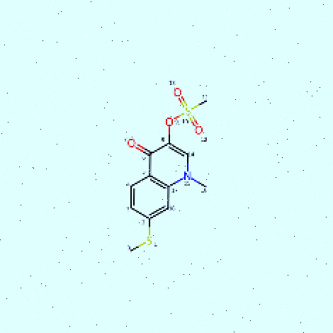 CSc1ccc2c(=O)c(OS(C)(=O)=O)cn(C)c2c1